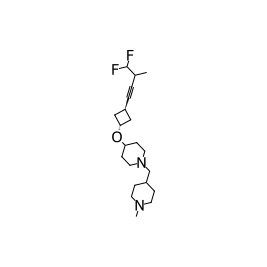 CC(C#C[C@H]1C[C@H](OC2CCN(CC3CCN(C)CC3)CC2)C1)C(F)F